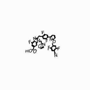 N#Cc1cc(F)c(COc2cccc(-c3cc(F)c(Cc4nc5c(F)cc(C(=O)O)cc5n4Cc4ncco4)cc3F)n2)cc1F